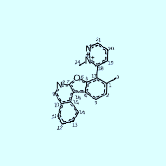 Cc1ccc2c(oc3ncc4ccccc4c32)c1-c1cccn[n+]1C